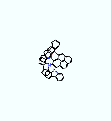 c1cc2ccc3c(-n4c5ccccc5c5ccccc54)c(-n4c5ccccc5c5ccccc54)c(-n4c5ccccc5c5ccccc54)c4c(-n5c6ccccc6c6ccccc65)cc(c1)c2c34